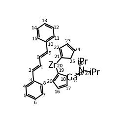 C(C=Cc1ccccc1)=Cc1ccccc1.C1=CC[C]([Zr][C]2=CC=CC2)=C1.CC(C)[N]([Ga])C(C)C